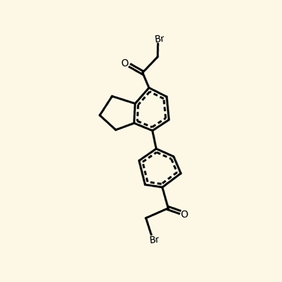 O=C(CBr)c1ccc(-c2ccc(C(=O)CBr)c3c2CCC3)cc1